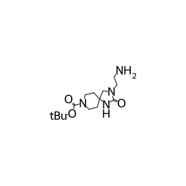 CC(C)(C)OC(=O)N1CCC2(CC1)CN(CCN)C(=O)N2